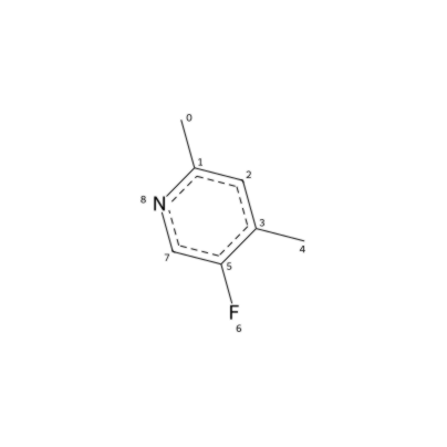 Cc1cc(C)c(F)cn1